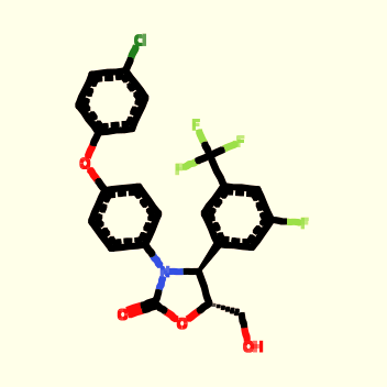 O=C1O[C@@H](CO)[C@H](c2cc(F)cc(C(F)(F)F)c2)N1c1ccc(Oc2ccc(Cl)cc2)cc1